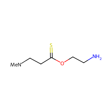 CNCCC(=S)OCCN